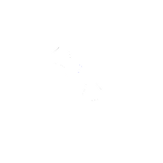 Cc1cc(-c2nc3ccccc3o2)ccc1O